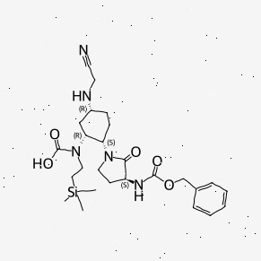 C[Si](C)(C)CCN(C(=O)O)[C@@H]1C[C@H](NCC#N)CC[C@@H]1N1CC[C@H](NC(=O)OCc2ccccc2)C1=O